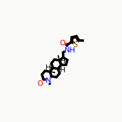 Cc1ccc(C(=O)NCC2CC[C@H]3[C@@H]4CCC5N(C)C(=O)CC[C@]5(C)[C@@H]4CC[C@]23C)s1